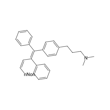 CCCCCCCCC/C=C\C(=C(/c1ccccc1)c1ccc(CCCN(C)C)cc1)c1ccccc1